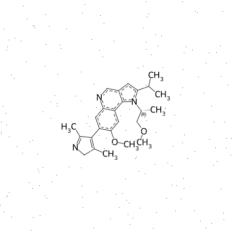 COC[C@@H](C)n1c(C(C)C)cc2cnc3cc(C4=C(C)CN=C4C)c(OC)cc3c21